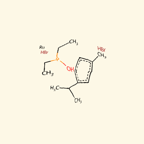 Br.Br.CCP(O)CC.Cc1ccc(C(C)C)cc1.[Ru]